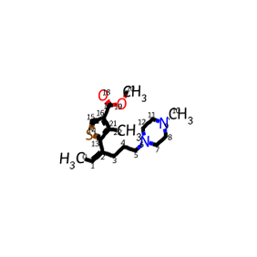 CC=C(CCCN1CCN(C)CC1)c1scc(C(=O)OC)c1C